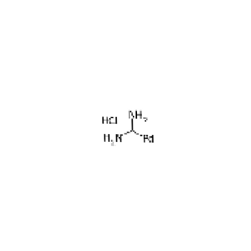 Cl.N[CH](N)[Pd]